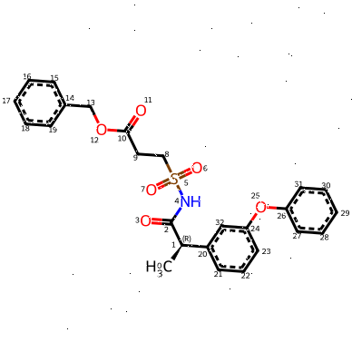 C[C@@H](C(=O)NS(=O)(=O)CCC(=O)OCc1ccccc1)c1cccc(Oc2ccccc2)c1